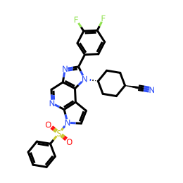 N#C[C@H]1CC[C@H](n2c(-c3ccc(F)c(F)c3)nc3cnc4c(ccn4S(=O)(=O)c4ccccc4)c32)CC1